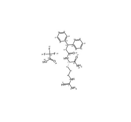 N=C(N)NCCC[C@H](NC(=O)CC(c1ccccc1)c1ccccc1)C(N)=O.O=C(O)C(F)(F)F